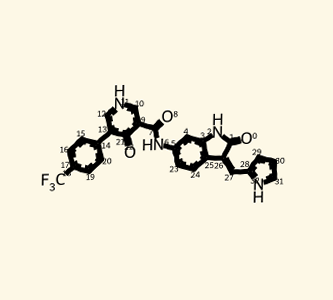 O=C1Nc2cc(NC(=O)c3c[nH]cc(-c4ccc(C(F)(F)F)cc4)c3=O)ccc2/C1=C/c1ccc[nH]1